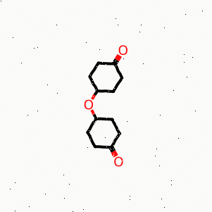 O=C1CCC(OC2CCC(=O)CC2)CC1